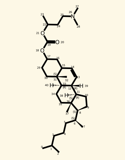 CC(C)CCC[C@H](C)[C@@H]1CC[C@@H]2[C@H]3C=CC4CC(OC(=O)OC(C)CCN(C)C)CC[C@@]4(C)[C@@H]3CC[C@]21C